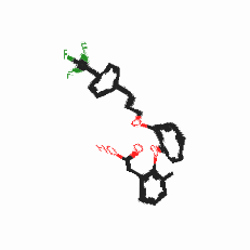 Cc1cccc(CC(=O)O)c1Oc1ccccc1OCC=Cc1ccc(C(F)(F)F)cc1